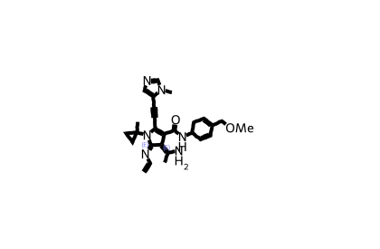 C=C/N=C1\C(=C(/C)N)C(C(=O)NC2C=CC(COC)=CC2)=C(C#Cc2cncn2C)N1C1(C)CC1